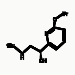 CC(C)Oc1cccc([C@H](O)CNC(C)(C)C)n1